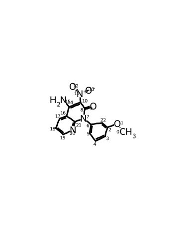 COc1cccc(-n2c(=O)c([N+](=O)[O-])c(N)c3cccnc32)c1